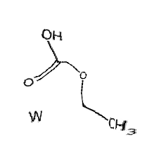 CCOC(=O)O.[W]